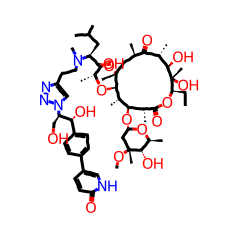 CC[C@H]1OC(=O)[C@H](C)[C@@H](O[C@H]2C[C@@](C)(OC)[C@@H](O)[C@H](C)O2)[C@H](C)[C@@H](O[C@H](C)[C@H](O)[C@H](CC(C)C)N(C)CCc2cn([C@H](CO)[C@H](O)c3ccc(-c4ccc(=O)[nH]c4)cc3)nn2)[C@](C)(OC)C[C@@H](C)C(=O)[C@H](C)[C@@H](O)[C@]1(C)O